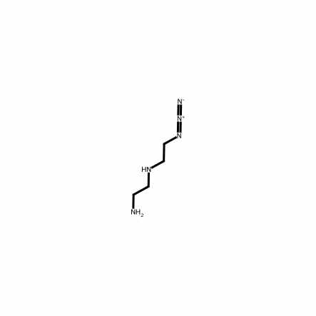 [N-]=[N+]=NCCNCCN